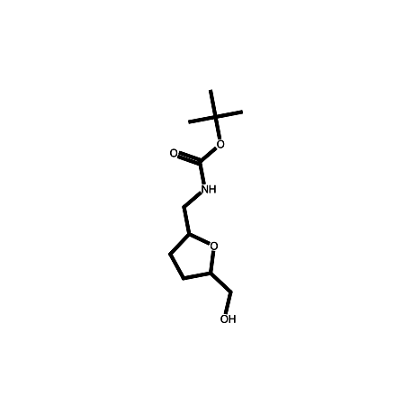 CC(C)(C)OC(=O)NCC1CCC(CO)O1